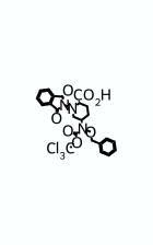 O=C(O)[C@@H]1CC[C@@H](N(OCc2ccccc2)C(=O)OC(Cl)(Cl)Cl)CN1N1C(=O)c2ccccc2C1=O